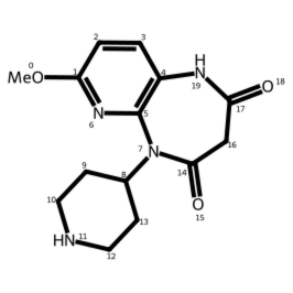 COc1ccc2c(n1)N(C1CCNCC1)C(=O)CC(=O)N2